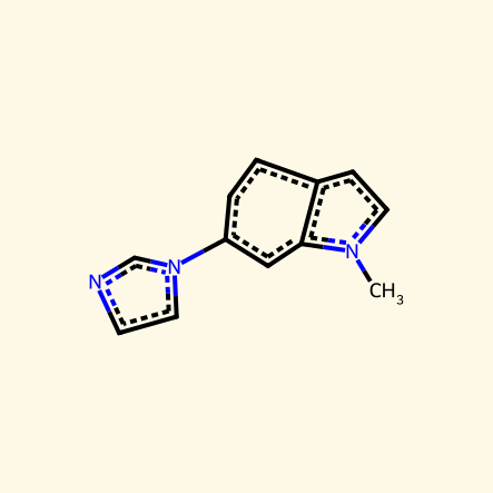 Cn1ccc2ccc(-n3ccnc3)cc21